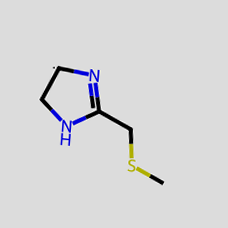 CSCC1=N[CH]CN1